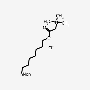 CCCCCCCCCCCCCCCCOC(=O)C[N+](C)(C)C.[Cl-]